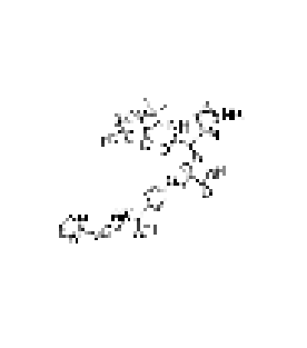 CC1(C)[C@H](NC(=O)/C(=N\O[C@H](COc2ccc(C(=N)NCCNc3ncccn3)cc2)C(=O)O)c2csc(N)n2)C(=O)N1OS(=O)(=O)O